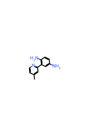 Cc1ccnc(-c2cc(N)ccc2N)c1